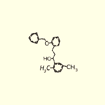 Cc1ccc(C)c(C(O)CCc2ccccc2OCc2ccccc2)c1